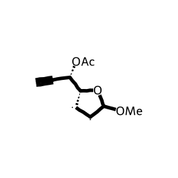 C#C[C@H](OC(C)=O)[C@H]1[CH][CH]C(OC)O1